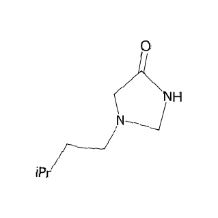 CC(C)CCN1CNC(=O)C1